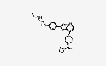 CCNCCNc1ccc(-c2cc3c(N4CCN(C(=O)C5CCC5)CC4)ccnn3c2)cc1